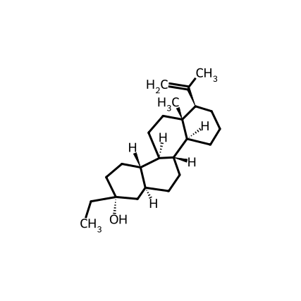 C=C(C)[C@H]1CCC[C@H]2[C@@H]3CC[C@H]4C[C@@](O)(CC)CC[C@@H]4[C@H]3CC[C@]12C